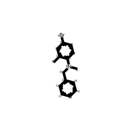 Cc1cc(Br)ccc1N(C)Cc1ccccc1